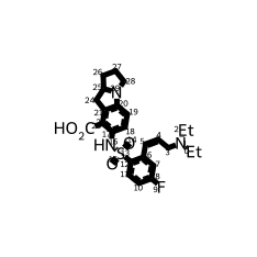 CCN(CC)C/C=C\c1cc(F)ccc1S(=O)(=O)Nc1ccc2c(c1C(=O)O)CC1CCCN21